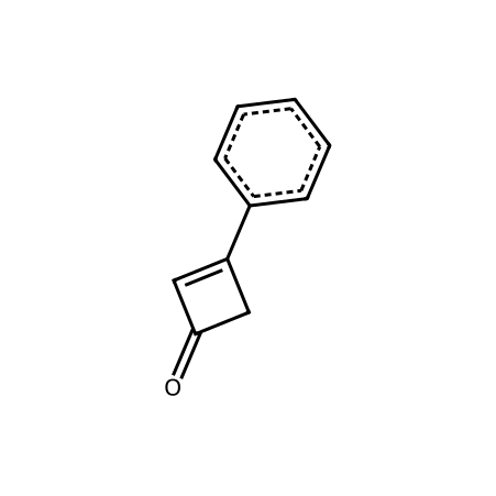 O=C1C=C(c2ccccc2)C1